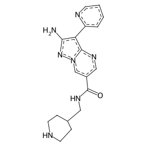 Nc1nn2cc(C(=O)NCC3CCNCC3)cnc2c1-c1ccccn1